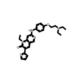 CCN(CC)CCOc1ccc(Nc2cc3c(cn2)cc(-c2cccs2)c(=O)n3CC)cc1